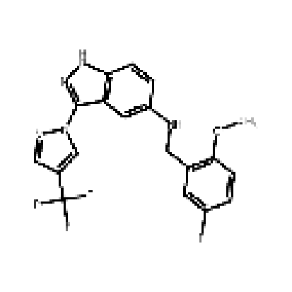 COc1ccc(F)cc1CNc1ccc2[nH]nc(-n3cc(C(F)(F)F)cn3)c2c1